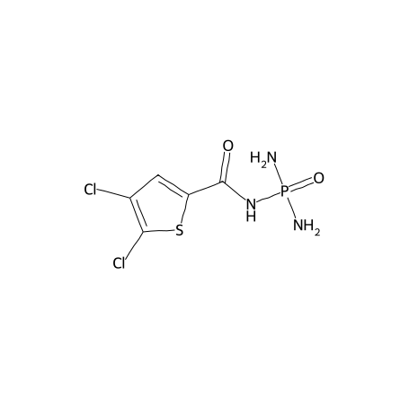 NP(N)(=O)NC(=O)c1cc(Cl)c(Cl)s1